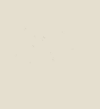 COc1cccc(C2NC(=O)N(C(C)C)c3cc4c(cc32)OCO4)c1